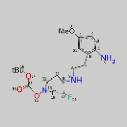 COc1ccc(N)c(CCNC2CCN(OC(=O)OC(C)(C)C)CC2F)c1